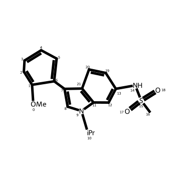 COc1ccccc1-c1cn(C(C)C)c2cc(NS(C)(=O)=O)ccc12